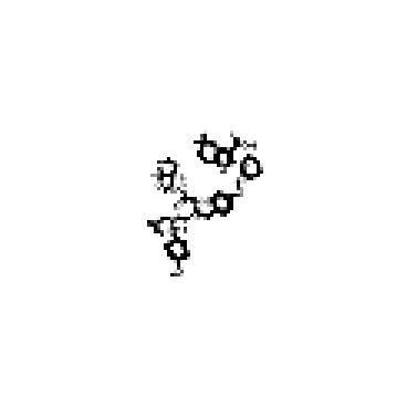 COc1ccc(S(=O)(=O)N(CC[C@H](Cc2ccc(OC[C@H]3CCCC[C@H]3c3sc4c(c3C(=O)O)CC(C)(C)CC4)cc2)NC(=O)O[C@H]2CO[C@@]3(C)OCC[C@@H]23)CC(C)C)cc1